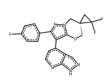 Fc1ccc(-c2nn3c(c2-c2ccnc4[nH]ncc24)OC[C@]2(C3)CC2(F)F)cc1